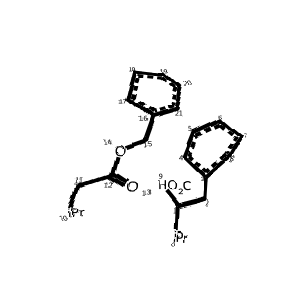 CC(C)C(Cc1ccccc1)C(=O)O.CC(C)CC(=O)OCc1ccccc1